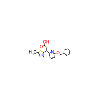 Cc1cnc(C(=CC(=O)O)c2cccc(OCc3ccccc3)n2)s1